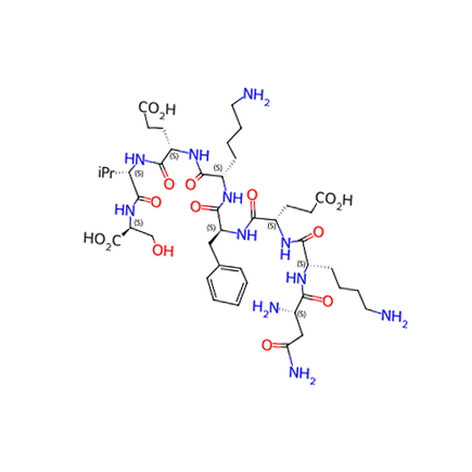 CC(C)[C@H](NC(=O)[C@H](CCC(=O)O)NC(=O)[C@H](CCCCN)NC(=O)[C@H](Cc1ccccc1)NC(=O)[C@H](CCC(=O)O)NC(=O)[C@H](CCCCN)NC(=O)[C@@H](N)CC(N)=O)C(=O)N[C@@H](CO)C(=O)O